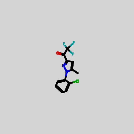 Cc1cc(C(=O)C(F)(F)F)nn1-c1ccccc1Cl